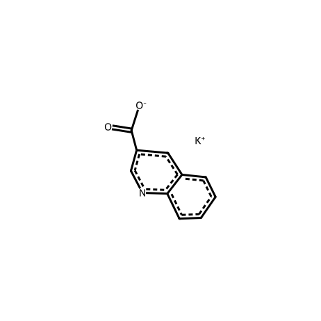 O=C([O-])c1cnc2ccccc2c1.[K+]